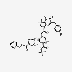 C[C@@H]1CN(C(=O)OCc2ccccc2)CCN1C[C@H]1CN(C(=O)OC(C)(C)C)[C@H](C)CN1CC(=O)N1CC(C)(C)c2c1cc(Cc1ccc(F)cc1)c(=O)n2C